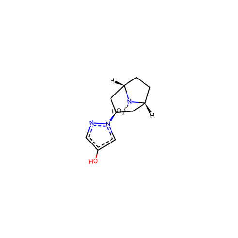 O=C(O)N1[C@@H]2CC[C@H]1C[C@H](n1cc(O)cn1)C2